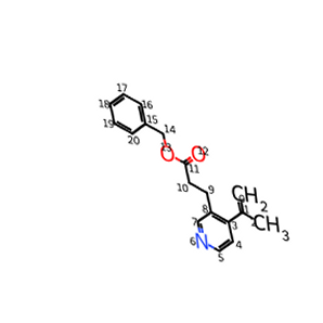 C=C(C)c1ccncc1CCC(=O)OCc1ccccc1